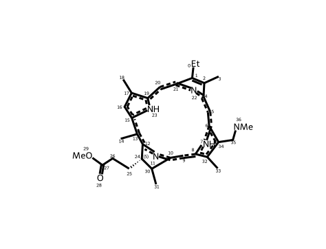 CCC1=C(C)c2cc3[nH]c(cc4nc(c(C)c5cc(C)c(cc1n2)[nH]5)[C@@H](CCC(=O)OC)C4C)c(C)c3CNC